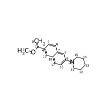 C=C(OC)c1ccc2cc(N3CCCCC3)ccc2c1